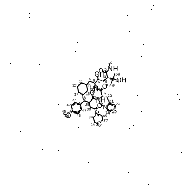 CNC(=O)C(CC(O)C(CC1CCCCC1)NC(=O)[C@H](Cc1cscn1)NC(=O)C(CC(=O)N1CCOCC1)Cc1ccc(OC)cc1)C(C)(C)O